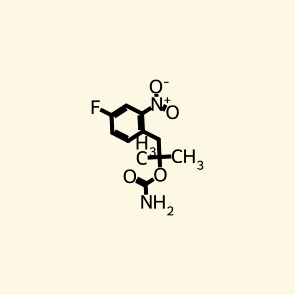 CC(C)(Cc1ccc(F)cc1[N+](=O)[O-])OC(N)=O